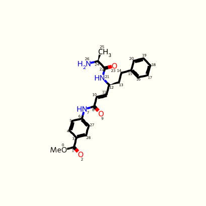 COC(=O)c1ccc(NC(=O)C=C[C@H](CCc2ccccc2)NC(=O)[C@H](C)N)cc1